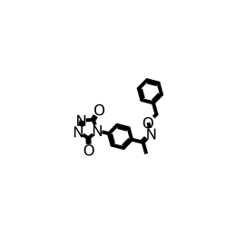 CC(=NOCc1ccccc1)c1ccc(N2C(=O)N=NC2=O)cc1